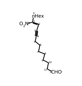 CCCCCCC(=CC#CCCCCCCC[C]=O)[N+](=O)[O-]